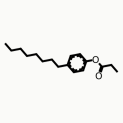 CCCCCCCCc1ccc(OC(=O)CC)cc1